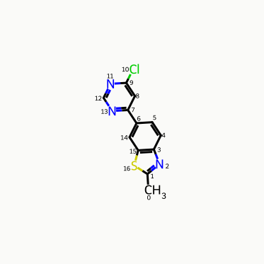 Cc1nc2ccc(-c3cc(Cl)ncn3)cc2s1